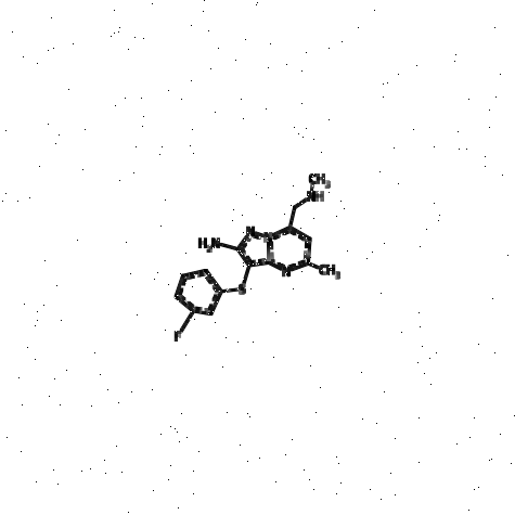 CNCc1cc(C)nc2c(Sc3cccc(F)c3)c(N)nn12